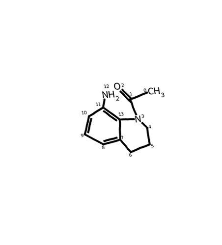 CC(=O)N1CCCc2cccc(N)c21